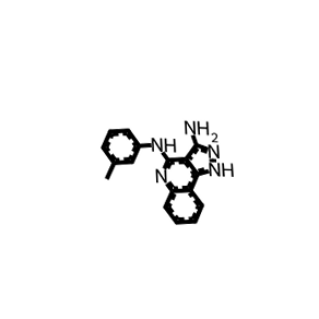 Cc1cccc(Nc2nc3ccccc3c3[nH]nc(N)c23)c1